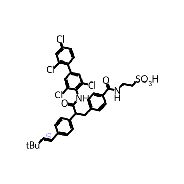 CC(C)(C)/C=C/c1ccc(C(Cc2ccc(C(=O)NCCS(=O)(=O)O)cc2)C(=O)Nc2c(Cl)cc(-c3ccc(Cl)cc3Cl)cc2Cl)cc1